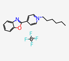 CCCCCC[n+]1ccc(-c2nc3ccccc3o2)cc1.F[B-](F)(F)F